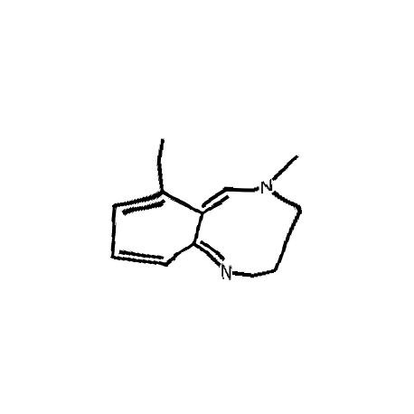 Cc1cccc2c1=CN(C)CCN=2